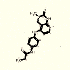 CN1Cc2c(Nc3ccc(NC(=O)CC(F)(F)F)cc3)ccnc2NC1=O